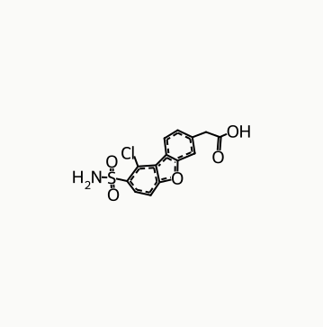 NS(=O)(=O)c1ccc2oc3cc(CC(=O)O)ccc3c2c1Cl